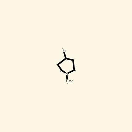 C[CH]C1CCN(OC)CC1